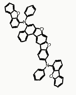 c1ccc(N(c2ccc3c(c2)oc2cc4oc5cc(N(c6ccccc6)c6cccc7c6oc6ccccc67)c6ccccc6c5c4cc23)c2cccc3c2oc2ccccc23)cc1